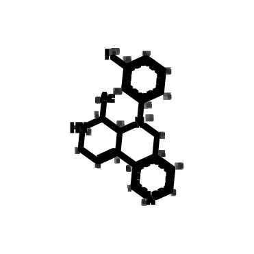 CC(=O)C1NCC=C2c3cnccc3CN(c3cccc(F)c3)C21